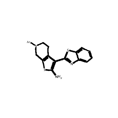 CC(=O)N1CCc2c(sc(N)c2-c2nc3ccccc3s2)C1